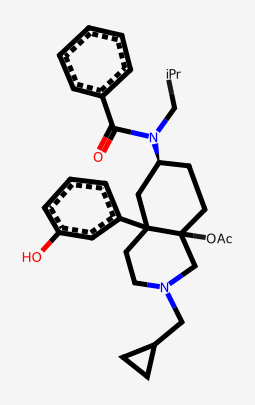 CC(=O)OC12CC[C@H](N(CC(C)C)C(=O)c3ccccc3)CC1(c1cccc(O)c1)CCN(CC1CC1)C2